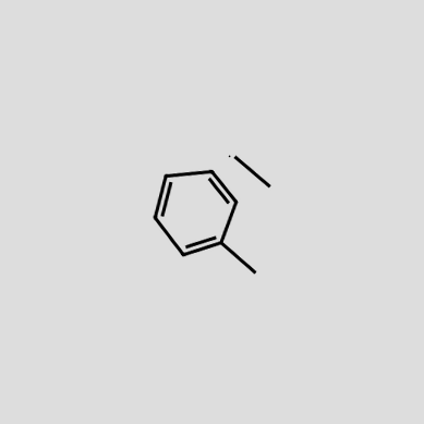 Cc1ccccc1.[CH2]C